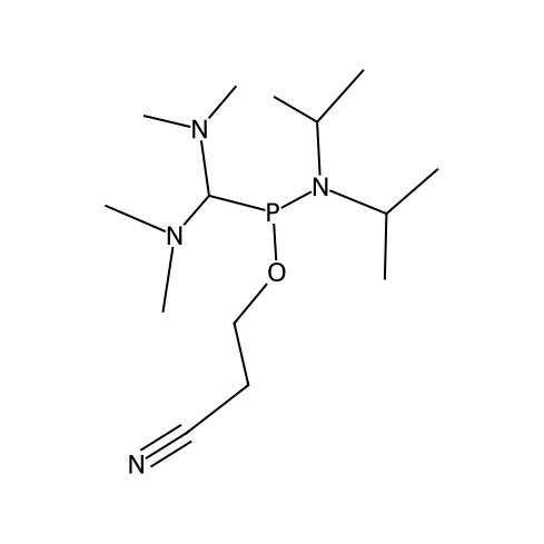 CC(C)N(C(C)C)P(OCCC#N)C(N(C)C)N(C)C